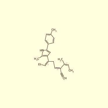 C#CC(=C/C/C(=C/CC)c1cc(-c2ccc(C)cc2)[nH]c1C)/C(C)=C\C